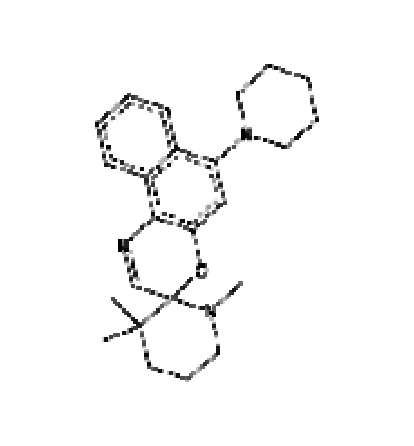 CN1CCCC(C)(C)C12C=Nc1c(cc(N3CCCCC3)c3ccccc13)O2